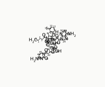 C=CCCC(=O)NC(Cc1ccccc1I)C(=O)O[C@H]1[C@@H](O)[C@H](n2cnc3c(N)ncnc32)O[C@H]1COP(=O)(O)O[C@H]1C[C@H](n2ccc(N)nc2=O)O[C@@H]1COP(=O)(O)O